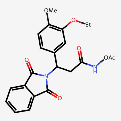 CCOc1cc(C(CC(=O)NOC(C)=O)N2C(=O)c3ccccc3C2=O)ccc1OC